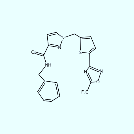 O=C(NCc1ccccc1)c1ccn(Cc2ccc(-c3noc(C(F)(F)F)n3)s2)n1